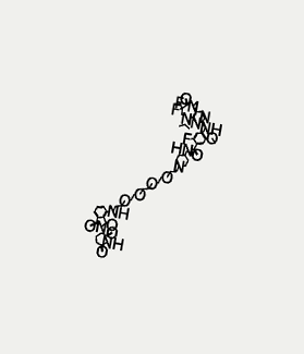 COc1cc(C(=O)NC2CCN(CCOCCOCCOCCOCCNc3cccc4c3C(=O)N(C3CCC(=O)NC3=O)C4=O)CC2)c(F)cc1Nc1ncc2c(n1)N(C(C)C)CC(F)(F)C(=O)N2C